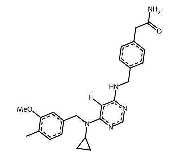 COc1cc(CN(c2ncnc(NCc3ccc(CC(N)=O)cc3)c2F)C2CC2)ccc1C